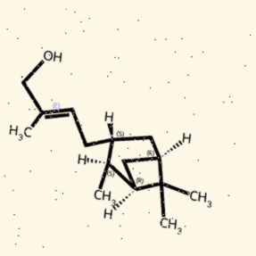 C/C(=C\C[C@@H]1C[C@@H]2C[C@H]([C@H]1C)C2(C)C)CO